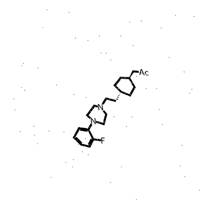 CC(=O)C[C@H]1CC[C@H](CCN2CCN(c3ccccc3F)CC2)CC1